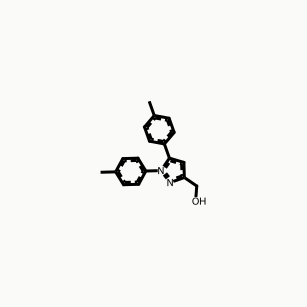 Cc1ccc(-c2cc(CO)nn2-c2ccc(C)cc2)cc1